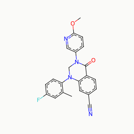 COc1ccc(N2CN(c3ccc(F)cc3C)c3cc(C#N)ccc3C2=O)cn1